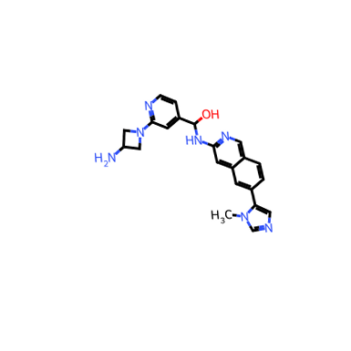 Cn1cncc1-c1ccc2cnc(NC(O)c3ccnc(N4CC(N)C4)c3)cc2c1